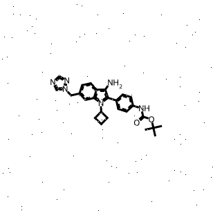 CC(C)(C)OC(=O)Nc1ccc(-c2c(N)c3ccc(Cn4cncn4)cc3n2C2CCC2)cc1